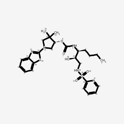 CCCC[C@H](NC(=O)O[C@@H]1CN(c2nc3ccccc3s2)CC1(C)C)[C@H](O)CNS(=O)(=O)c1ccccn1